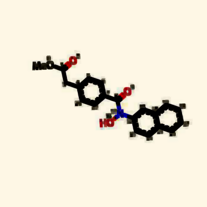 COC(=O)Cc1ccc(C(=O)N(O)c2ccc3ccccc3c2)cc1